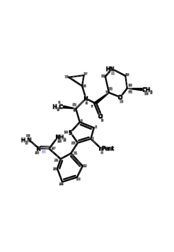 CCCCCc1cc([C@@H](C)N(C(=O)[C@H]2CNC[C@@H](C)O2)C2CC2)sc1-c1ccccc1/C(N)=N/N